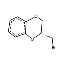 BrC[C@H]1COc2ccccc2O1